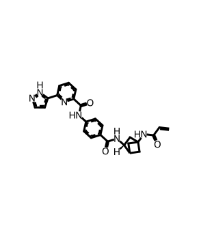 C=CC(=O)NC12CC(C1)[C@H](NC(=O)c1ccc(NC(=O)c3cccc(-c4ccn[nH]4)n3)cc1)C2